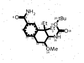 CCC1(CC)c2cc(C(N)=O)ccc2CC(OC)C1NC(=O)OC(C)(C)C